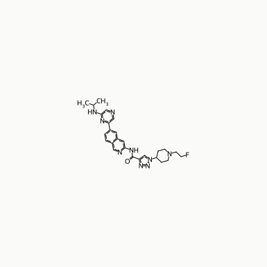 CC(C)Nc1cncc(-c2ccc3cnc(NC(=O)c4cn(C5CCN(CCF)CC5)nn4)cc3c2)n1